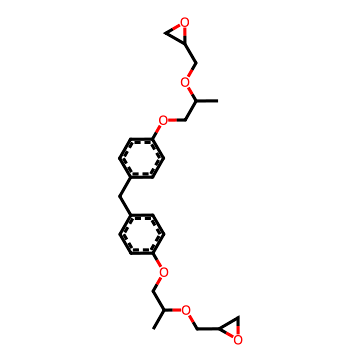 CC(COc1ccc(Cc2ccc(OCC(C)OCC3CO3)cc2)cc1)OCC1CO1